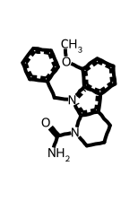 COc1cccc2c3c(n(Cc4ccccc4)c12)N(C(N)=O)CCC3